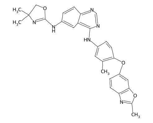 Cc1nc2ccc(Oc3ccc(Nc4ncnc5ccc(NC6=NC(C)(C)CO6)cc45)cc3C)cc2o1